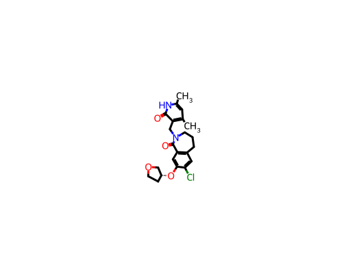 Cc1cc(C)c(CN2CCCc3cc(Cl)c(O[C@@H]4CCOC4)cc3C2=O)c(=O)[nH]1